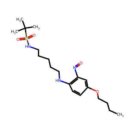 CCCCOc1ccc(NCCCCCNS(=O)(=O)C(C)(C)C)c(N=O)c1